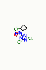 C=O.Clc1nc(Cl)nc(Nc2ccccc2Cl)n1